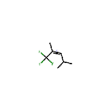 C/C(=C/C(C)C)C(F)(F)F